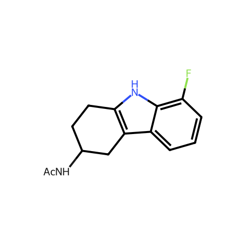 CC(=O)NC1CCc2[nH]c3c(F)cccc3c2C1